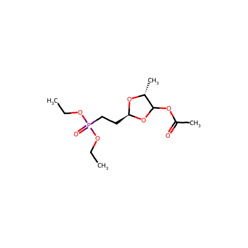 CCOP(=O)(CC[C@@H]1OC(OC(C)=O)[C@@H](C)O1)OCC